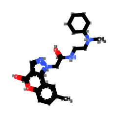 Cc1ccc2oc(=O)c3cnn(CC(=O)NCCN(C)C4CCCCC4)c3c2c1